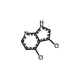 Clc1ccnc2[nH]cc(Cl)c12